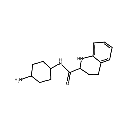 NC1CCC(NC(=O)C2CCc3ccccc3N2)CC1